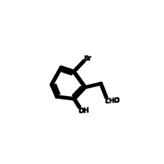 O=CCc1c(O)cccc1Br